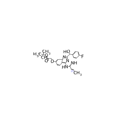 C/C=C/C(=N)Nc1nc(C(O)c2ccc(F)cc2)nc2cc(OCC(=O)OC(C)(C)C)ccc12